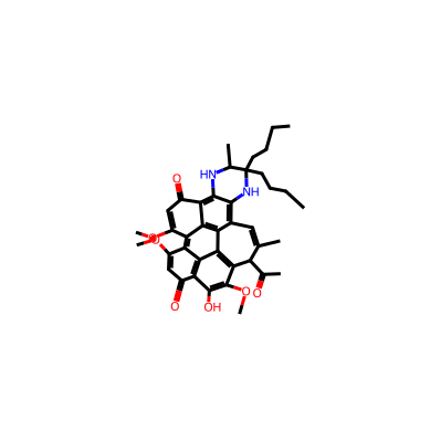 CCCCC1(CCCC)Nc2c(c3c(=O)cc(OC)c4c5c(OC)cc(=O)c6c(O)c(OC)c7c(c(c2C=C(C)C7C(C)=O)c34)c65)NC1C